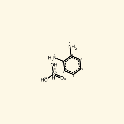 Nc1ccccc1N.O=[PH](O)O